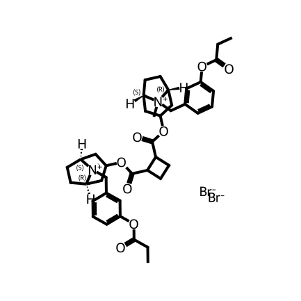 CCC(=O)Oc1cccc(C[N+]2(C)[C@@H]3CC[C@H]2CC(OC(=O)C2CCC2C(=O)OC2C[C@H]4CC[C@@H](C2)[N+]4(C)Cc2cccc(OC(=O)CC)c2)C3)c1.[Br-].[Br-]